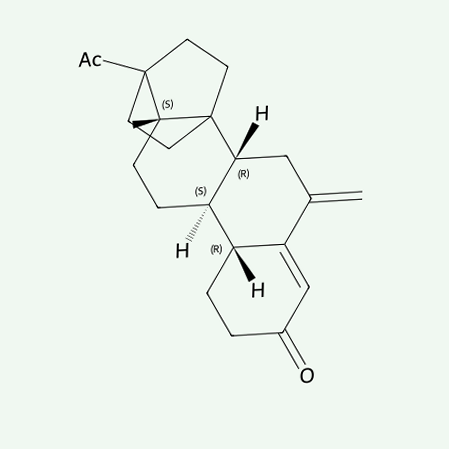 C=C1C[C@@H]2[C@H](CC[C@]3(C)C4(C(C)=O)CCC23CC4)[C@H]2CCC(=O)C=C12